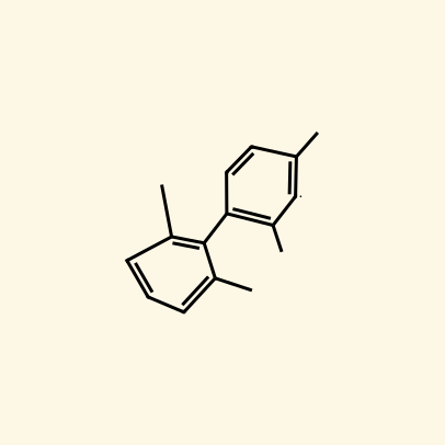 Cc1[c]c(C)c(-c2c(C)cccc2C)cc1